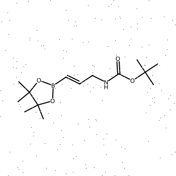 CC(C)(C)OC(=O)NCC=CB1OC(C)(C)C(C)(C)O1